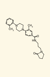 Cc1ccccc1N1CCN(c2ccc(C(=O)NCCCN3CCCC3=O)cc2C)CC1